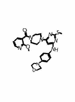 COc1ncccc1C(=O)N1CCN(c2cc(Nc3ccc(N4CCOCC4)cc3)nc(SC)n2)CC1